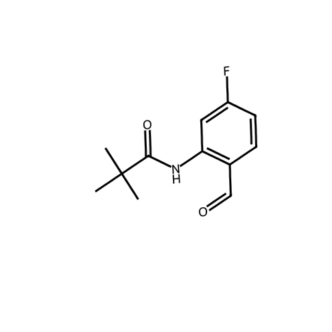 CC(C)(C)C(=O)Nc1cc(F)ccc1C=O